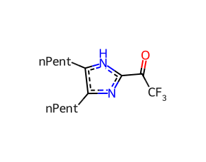 CCCCCc1nc(C(=O)C(F)(F)F)[nH]c1CCCCC